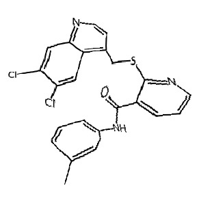 Cc1cccc(NC(=O)c2cccnc2SCc2ccnc3cc(Cl)c(Cl)cc23)c1